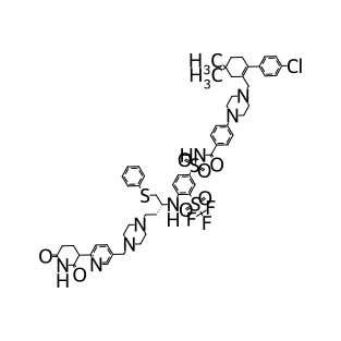 CC1(C)CCC(c2ccc(Cl)cc2)=C(CN2CCN(c3ccc(C(=O)NS(=O)(=O)c4ccc(N[C@H](CCN5CCN(Cc6ccc(C7CCC(=O)NC7=O)nc6)CC5)CSc5ccccc5)c(S(=O)(=O)C(F)(F)F)c4)cc3)CC2)C1